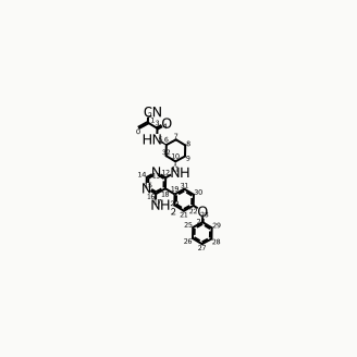 C=C(C#N)C(=O)N[C@H]1CCC[C@H](Nc2ncnc(N)c2-c2ccc(Oc3ccccc3)cc2)C1